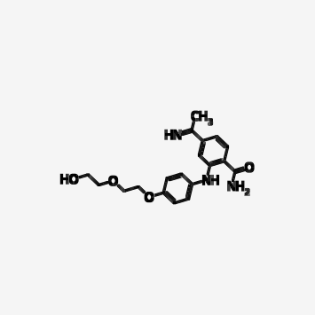 CC(=N)c1ccc(C(N)=O)c(Nc2ccc(OCCOCCO)cc2)c1